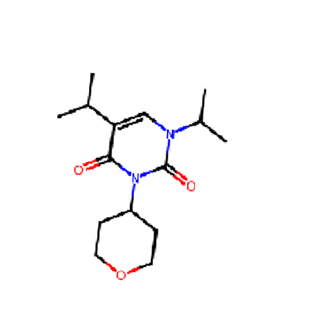 CC(C)c1cn(C(C)C)c(=O)n(C2CCOCC2)c1=O